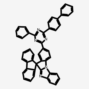 c1ccc(-c2ccc(-c3nc(-c4ccccc4)nc(-c4ccc5c(c4)C4(c6ccccc6-c6ccccc64)c4nc6ccccc6n4-5)n3)cc2)cc1